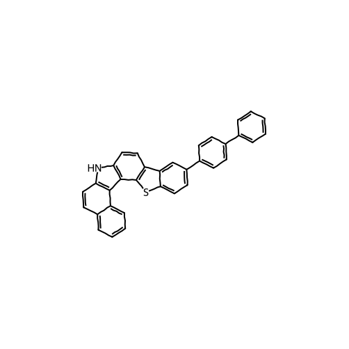 c1ccc(-c2ccc(-c3ccc4sc5c(ccc6[nH]c7ccc8ccccc8c7c65)c4c3)cc2)cc1